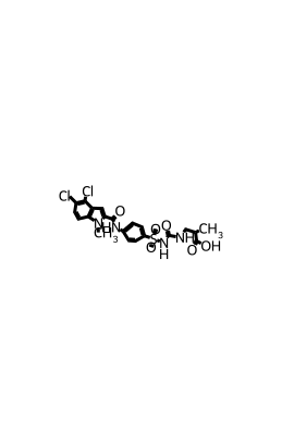 CC(CNC(=O)NS(=O)(=O)c1ccc(NC(=O)c2cc3c(Cl)c(Cl)ccc3n2C)cc1)C(=O)O